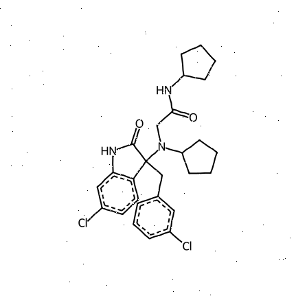 O=C(CN(C1CCCC1)C1(Cc2cccc(Cl)c2)C(=O)Nc2cc(Cl)ccc21)NC1CCCC1